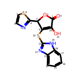 O=C1OC(c2nccs2)C(Sc2nc3ccccc3[nH]2)=C1O